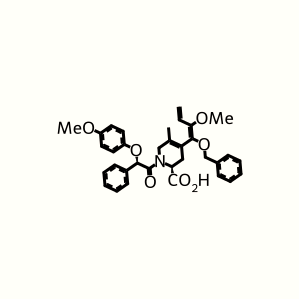 C=C/C(OC)=C(/OCc1ccccc1)C1=C(C)CN(C(=O)[C@H](Oc2ccc(OC)cc2)c2ccccc2)[C@H](C(=O)O)C1